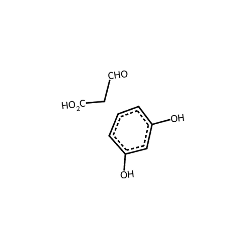 O=CCC(=O)O.Oc1cccc(O)c1